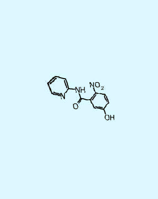 O=C(Nc1ccccn1)c1cc(O)ccc1[N+](=O)[O-]